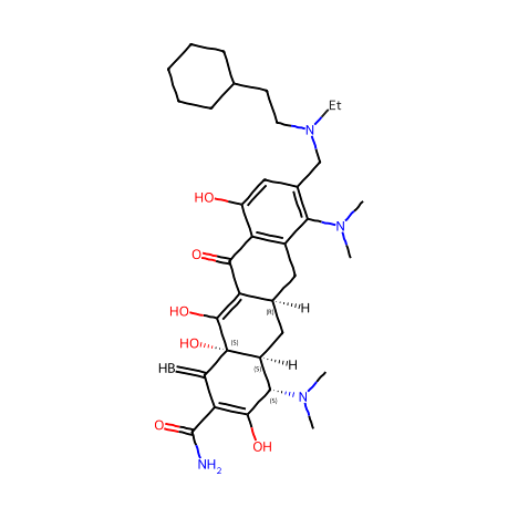 B=C1C(C(N)=O)=C(O)[C@@H](N(C)C)[C@@H]2C[C@@H]3Cc4c(c(O)cc(CN(CC)CCC5CCCCC5)c4N(C)C)C(=O)C3=C(O)[C@]12O